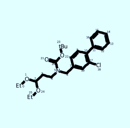 CCOC(CCN(Cc1ccc(-c2ccccc2)c(Cl)c1)C(=O)OC(C)(C)C)OCC